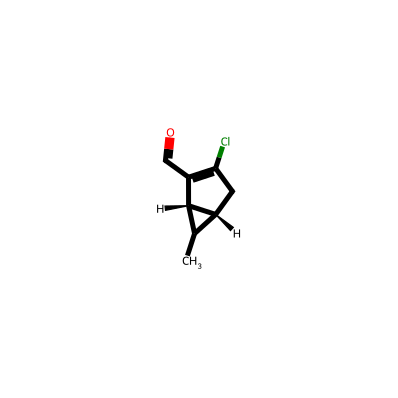 CC1[C@H]2CC(Cl)=C(C=O)[C@@H]12